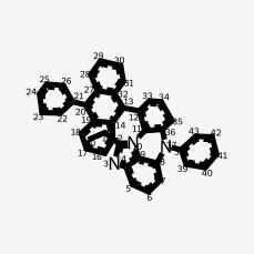 CCc1nc2cccc3c2n1-c1c(-c2c4ccccc4c(-c4ccccc4)c4ccccc24)cccc1N3c1ccccc1